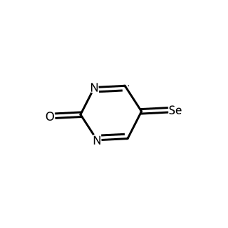 O=C1N=[C]C(=[Se])C=N1